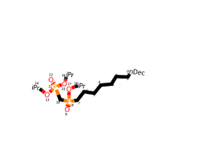 CCCCCCCCCCCCCCCCCP(=O)(CP(=O)(OC(C)C)OC(C)C)OC(C)C